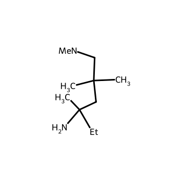 CCC(C)(N)CC(C)(C)CNC